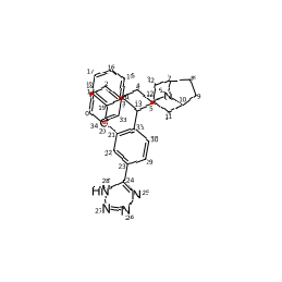 c1ccc(CCN2C3CCC2CC(C2c4ccccc4Oc4cc(-c5nnn[nH]5)ccc42)C3)cc1